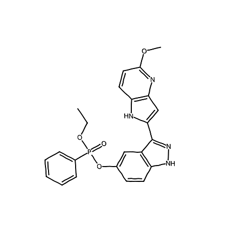 CCOP(=O)(Oc1ccc2[nH]nc(-c3cc4nc(OC)ccc4[nH]3)c2c1)c1ccccc1